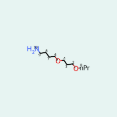 CCCOCCCOCCCCN